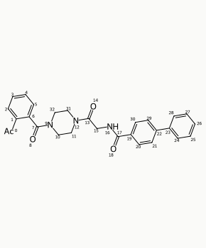 CC(=O)c1ccccc1C(=O)N1CCN(C(=O)CNC(=O)c2ccc(-c3ccccc3)cc2)CC1